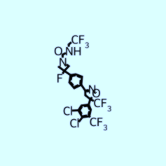 O=C(NCC(F)(F)F)N1CC(F)(c2ccc(C3=NOC(c4cc(Cl)c(Cl)c(C(F)(F)F)c4)(C(F)(F)F)C3)cc2)C1